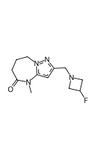 CN1C(=O)CCCn2nc(CN3CC(F)C3)cc21